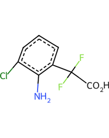 Nc1c(Cl)cccc1C(F)(F)C(=O)O